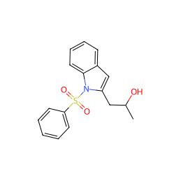 CC(O)Cc1cc2ccccc2n1S(=O)(=O)c1ccccc1